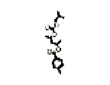 Cc1ccc(C(=O)OC(C)CC(C)OC(=O)OCC(C)C)cc1